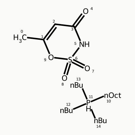 CC1=CC(=O)NS(=O)(=O)O1.CCCCCCCC[PH](CCCC)(CCCC)CCCC